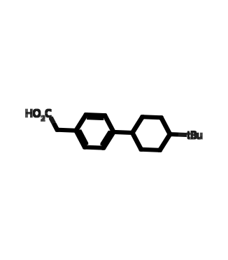 CC(C)(C)C1CCC(c2ccc(CC(=O)O)cc2)CC1